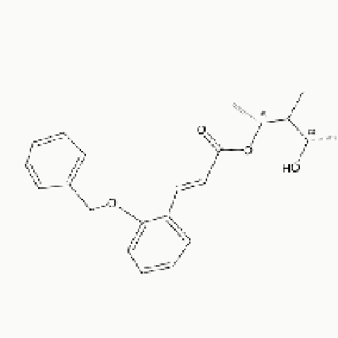 CC([C@H](C)O)[C@@H](C)OC(=O)C=Cc1ccccc1OCc1ccccc1